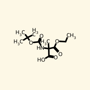 CCOC(=O)C(C)(NC(=O)OC(C)(C)C)C(=O)O